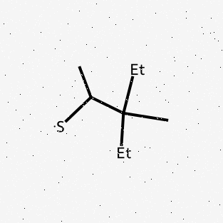 CCC(C)(CC)C(C)[S]